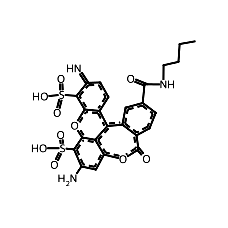 CCCCNC(=O)c1ccc2c(=O)oc3cc(N)c(S(=O)(=O)O)c4oc5c(S(=O)(=O)O)c(=N)ccc5c(c2c1)c34